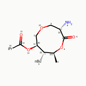 CCCC[C@H]1[C@H](C)OC(=O)[C@@H](N)COC[C@@H]1OC(=O)C(C)C